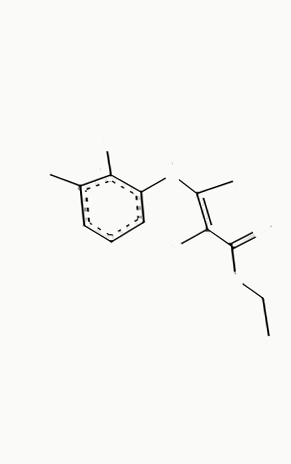 CCOC(=O)C(Br)=C(C)Oc1cccc(C)c1F